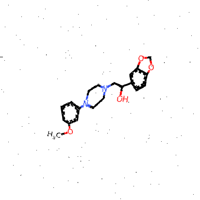 COc1cccc(N2CCN(CC(O)c3ccc4c(c3)OCO4)CC2)c1